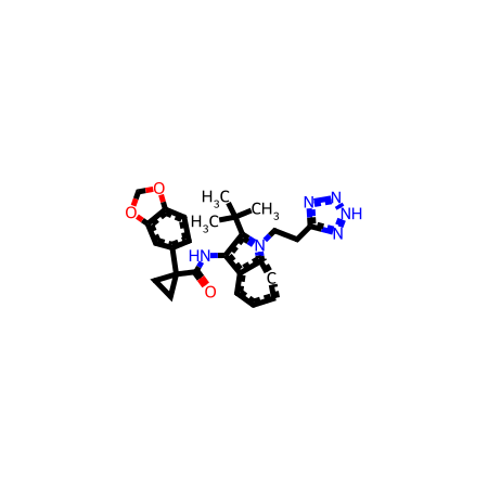 CC(C)(C)c1c(NC(=O)C2(c3ccc4c(c3)OCO4)CC2)c2ccccc2n1CCc1nn[nH]n1